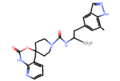 Cc1cc(CC(NC(=O)N2CCC3(CC2)OC(=O)Nc2ncccc23)C(=O)O)cc2cn[nH]c12